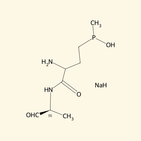 C[C@@H](C=O)NC(=O)C(N)CCP(C)O.[NaH]